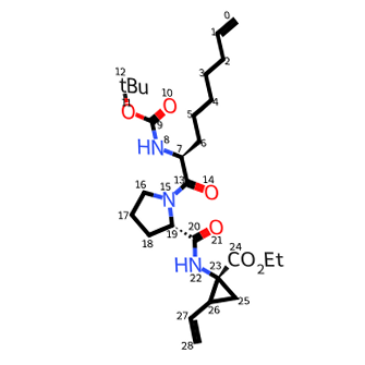 C=CCCCCC[C@H](NC(=O)OC(C)(C)C)C(=O)N1CCC[C@H]1C(=O)N[C@]1(C(=O)OCC)CC1C=C